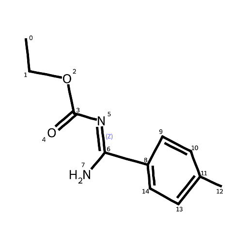 CCOC(=O)/N=C(\N)c1ccc(C)cc1